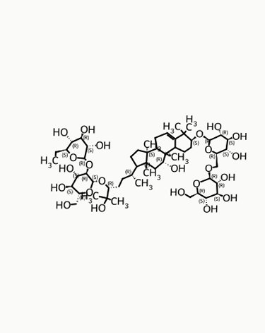 CC[C@@H]1O[C@H](O[C@H]2[C@H](O[C@H](CC[C@@H](C)C3CC[C@@]4(C)C5CC=C6C(CC[C@H](O[C@@H]7O[C@H](CO[C@@H]8O[C@H](CO)[C@@H](O)[C@H](O)[C@H]8O)[C@@H](O)[C@H](O)[C@H]7O)C6(C)C)[C@]5(C)[C@H](O)C[C@]34C)C(C)(C)O)O[C@H](CO)[C@@H](O)[C@@H]2O)[C@@H](O)[C@H](O)[C@H]1O